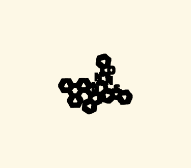 c1ccc2c(c1)ccc1c2c2c3c4ccccc4c4ccccc4c3ccc2n1-c1nc2c(nc1-c1cccc3c1sc1ccccc13)oc1ccccc12